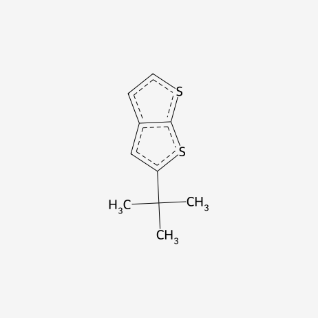 CC(C)(C)c1cc2ccsc2s1